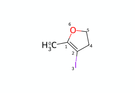 CC1=C(I)CCO1